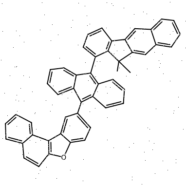 CC1(C)c2cc3ccccc3cc2-c2cccc(-c3c4ccccc4c(-c4ccc5oc6ccc7ccccc7c6c5c4)c4ccccc34)c21